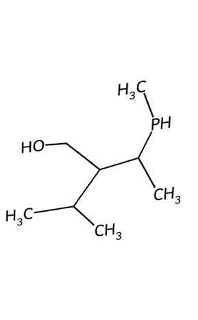 CPC(C)C(CO)C(C)C